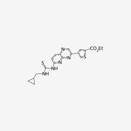 CCOC(=O)c1cc(-c2cnc3ccc(NC(=S)NCC4CC4)nc3n2)cs1